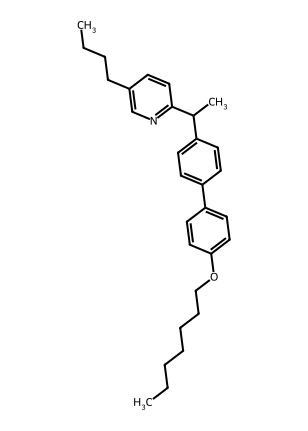 CCCCCCCOc1ccc(-c2ccc(C(C)c3ccc(CCCC)cn3)cc2)cc1